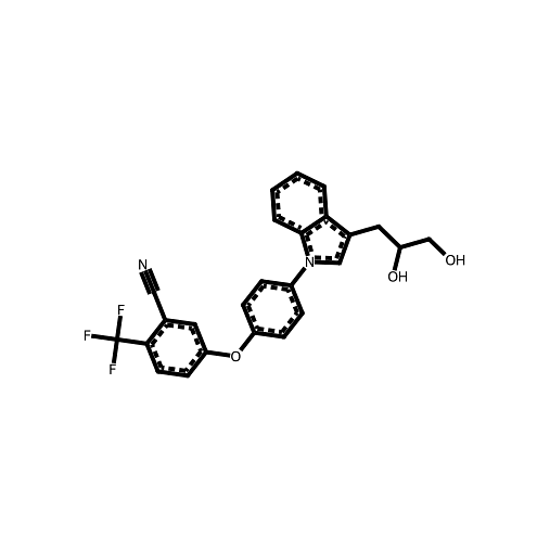 N#Cc1cc(Oc2ccc(-n3cc(CC(O)CO)c4ccccc43)cc2)ccc1C(F)(F)F